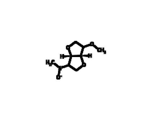 COC1CO[C@@H]2C([S+](C)[O-])CO[C@H]12